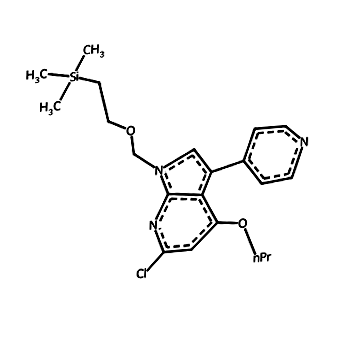 CCCOc1cc(Cl)nc2c1c(-c1ccncc1)cn2COCC[Si](C)(C)C